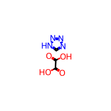 O=C(O)C(=O)O.c1nnn[nH]1